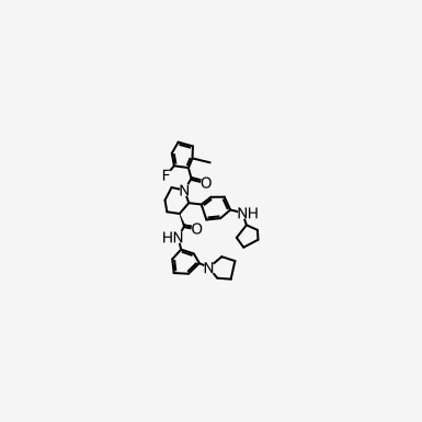 Cc1cccc(F)c1C(=O)N1CCC[C@H](C(=O)Nc2cccc(N3CCCC3)c2)C1c1ccc(NC2CCCC2)cc1